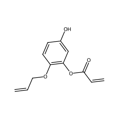 C=CCOc1ccc(O)cc1OC(=O)C=C